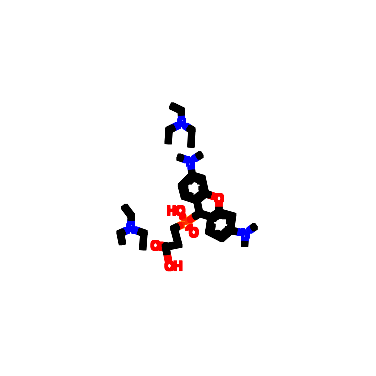 CCN(CC)CC.CCN(CC)CC.CN(C)c1ccc2c(c1)Oc1cc(N(C)C)ccc1C2P(=O)(O)CCC(=O)O